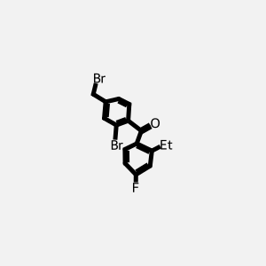 CCc1cc(F)ccc1C(=O)c1ccc(CBr)cc1Br